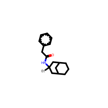 CCC1(NC(=O)Cc2ccccc2)CC2CCCC(C2)C1